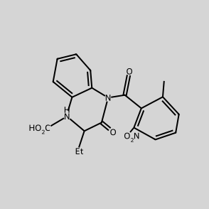 CCC(NC(=O)O)C(=O)N(C(=O)c1c(C)cccc1[N+](=O)[O-])c1ccccc1C